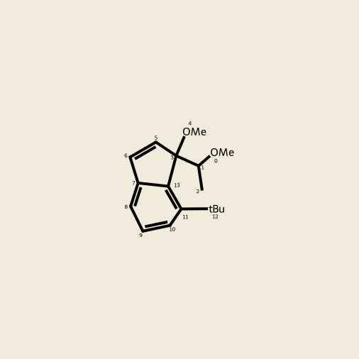 COC(C)C1(OC)C=Cc2cccc(C(C)(C)C)c21